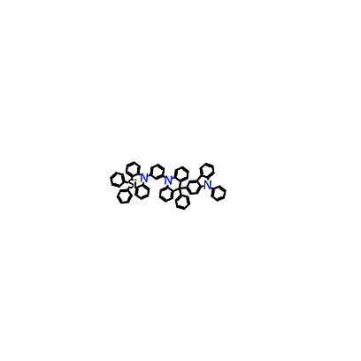 c1ccc(-n2c3ccccc3c3cc(C4(c5ccccc5)c5ccccc5N(c5cccc(N6c7ccccc7[Si](c7ccccc7)(c7ccccc7)c7ccccc76)c5)c5ccccc54)ccc32)cc1